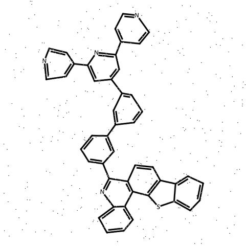 c1cc(-c2cccc(-c3nc4ccccc4c4c3ccc3c5ccccc5sc34)c2)cc(-c2cc(-c3ccncc3)nc(-c3ccncc3)c2)c1